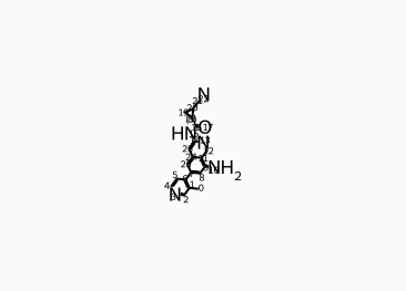 Cc1cnccc1-c1cc(N)c2cnc(NC(=O)[C@H]3CC3C#N)cc2c1